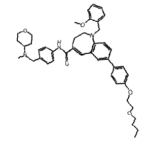 CCCCOCCOc1ccc(-c2ccc3c(c2)C=C(C(=O)Nc2ccc(CN(C)C4CCOCC4)cc2)CCN3Cc2ccccc2OC)cc1